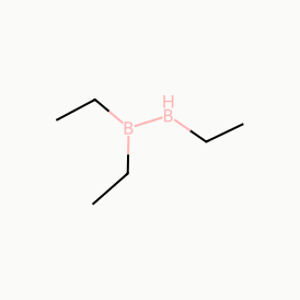 CCBB(CC)CC